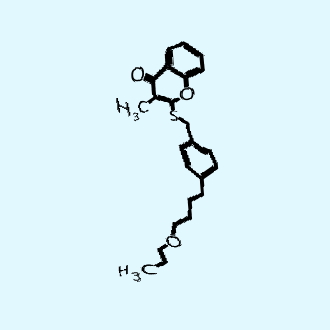 CCCOCCCCc1ccc(CSc2oc3ccccc3c(=O)c2C)cc1